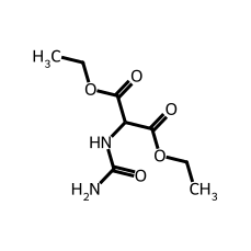 CCOC(=O)C(NC(N)=O)C(=O)OCC